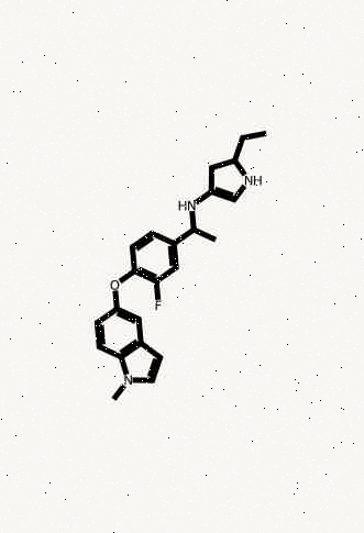 CCC1CC(NC(C)c2ccc(Oc3ccc4c(ccn4C)c3)c(F)c2)=CN1